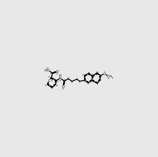 COc1ccc2cc(CCCCC(=O)Nc3ccccc3C(=O)O)ccc2c1